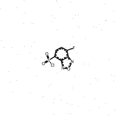 O=S(=O)(Cl)c1ccc(F)c2nonc12